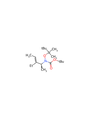 C/C=C(\CC)[C@H](C)N(O[Si](C)(C)C(C)(C)C)C(=O)OC(C)(C)C